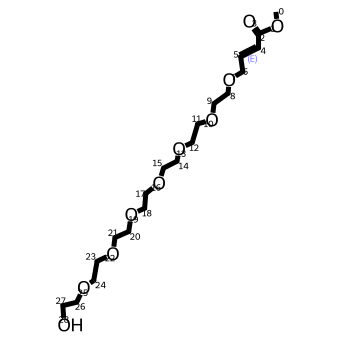 COC(=O)/C=C/COCCOCCOCCOCCOCCOCCOCCO